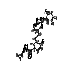 O=C(NC1CC1)c1ccc(F)c(CCc2cnc(Nc3ccccc3F)s2)c1